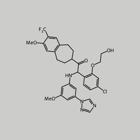 COc1cc(NC(C(=O)C2CCc3cc(OC)c(C(F)(F)F)cc3CC2)c2ccc(Cl)cc2OCCO)cc(-n2cncn2)c1